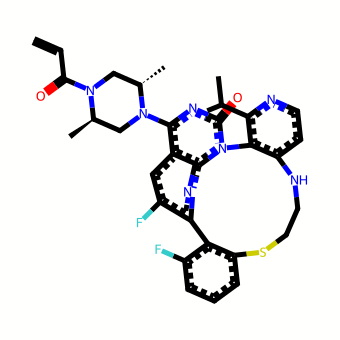 C=CC(=O)N1C[C@H](C)N(c2nc(=O)n3c4nc(c(F)cc24)-c2c(F)cccc2SCCNc2ccnc(C(C)C)c2-3)C[C@H]1C